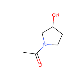 CC(=O)N1CCC(O)C1